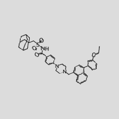 CCOc1cccc(-c2ccc(CN3CCN(c4ccc(C(=O)NS(=O)(=O)CC56CC7CC(CC(C7)C5)C6)cc4)CC3)c3ccccc23)c1